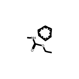 CCOC(=O)NC.c1ccccc1